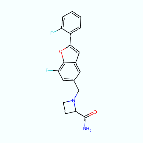 NC(=O)C1CCN1Cc1cc(F)c2oc(-c3ccccc3F)cc2c1